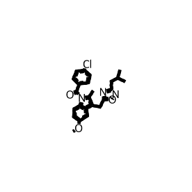 COc1ccc2c(c1)c(Cc1nc(CC(C)C)no1)c(C)n2C(=O)c1ccc(Cl)cc1